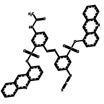 CC(=O)Nc1ccc(C=Cc2ccc(N=C=S)cc2S(=O)(=O)Oc2cccc3nc4ccccc4cc23)c(S(=O)(=O)Oc2cccc3nc4ccccc4cc23)c1